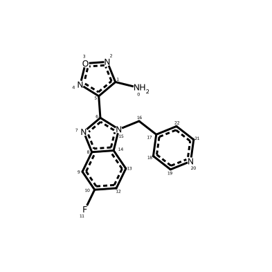 Nc1nonc1-c1nc2cc(F)ccc2n1Cc1ccncc1